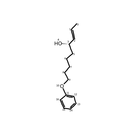 C/C=C/[C@@H](O)CCCCCOc1ccccc1